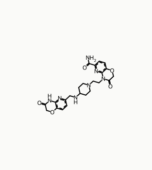 NC(=O)c1ccc2c(n1)N(CCN1CCC(NCc3ccc4c(n3)NC(=O)CO4)CC1)C(=O)CO2